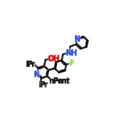 CCCCCc1c(C(C)C)nc(C(C)C)c(CO)c1-c1ccc(F)c(CNCc2ccccn2)c1